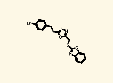 Brc1ccc(CSc2nnc(CSc3nc4ccccc4s3)o2)cc1